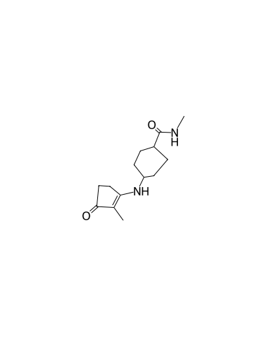 CNC(=O)C1CCC(NC2=C(C)C(=O)CC2)CC1